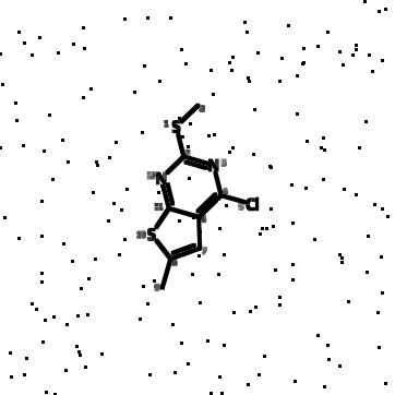 CSc1nc(Cl)c2cc(C)sc2n1